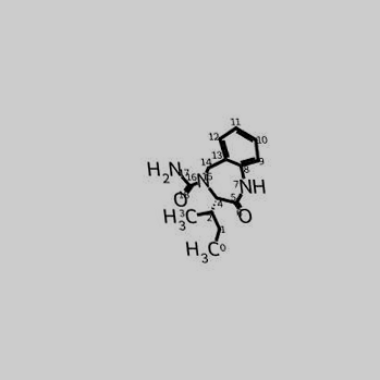 CCC(C)[C@H]1C(=O)Nc2ccccc2CN1C(N)=O